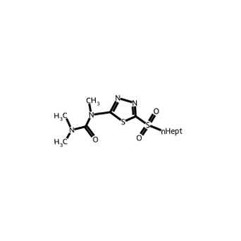 CCCCCCCS(=O)(=O)c1nnc(N(C)C(=O)N(C)C)s1